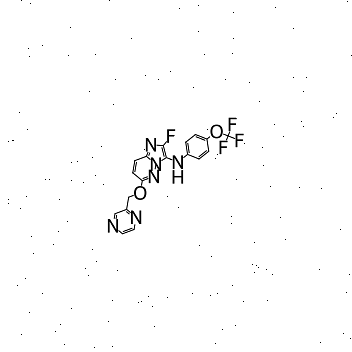 Fc1nc2ccc(OCc3cnccn3)nn2c1Nc1ccc(OC(F)(F)F)cc1